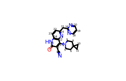 N#Cc1c(N2CCC3(CC2)CC3)c2nc(Cc3ncccn3)ccc2[nH]c1=O